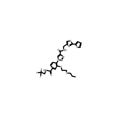 O=C(NCC(F)(F)F)c1ccc(-n2cc(C(=O)NCc3csc(-c4cccs4)n3)nn2)c(OCCOCCF)c1